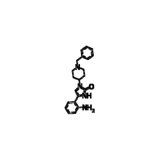 Nc1ccccc1-c1cn(C2CCN(Cc3ccccc3)CC2)c(=O)[nH]1